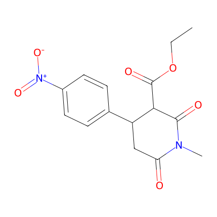 CCOC(=O)C1C(=O)N(C)C(=O)CC1c1ccc([N+](=O)[O-])cc1